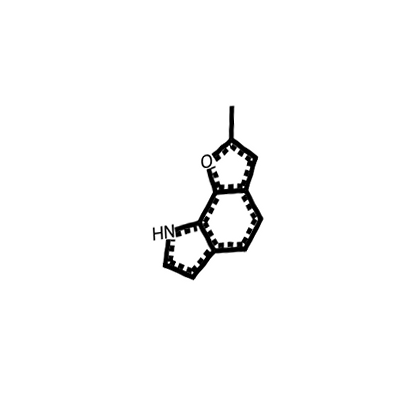 Cc1cc2ccc3cc[nH]c3c2o1